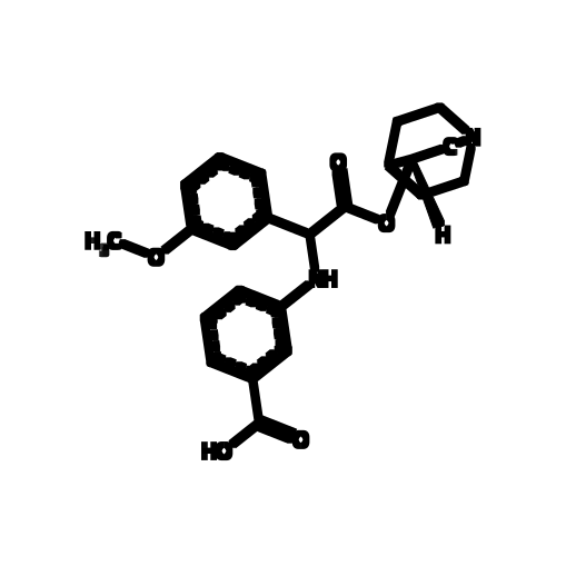 COc1cccc(C(Nc2cccc(C(=O)O)c2)C(=O)O[C@H]2CN3CCC2CC3)c1